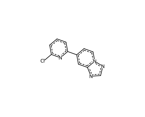 Clc1cccc(-c2ccn3ncnc3c2)n1